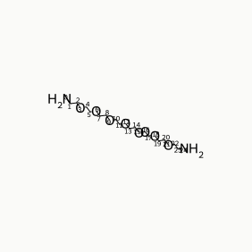 NCCOCCOCCOCCOCCOOCOCCOCCN